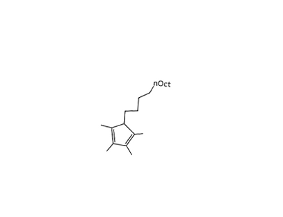 CCCCCCCCCCCCC1C(C)=C(C)C(C)=C1C